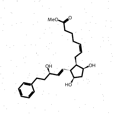 COC(=O)CCC/C=C\C[C@@H]1[C@@H](/C=C/[C@H](O)CCc2ccccc2)[C@H](O)C[C@@H]1O